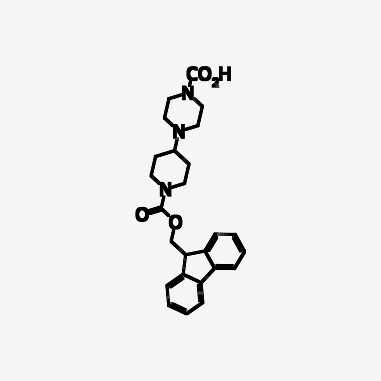 O=C(O)N1CCN(C2CCN(C(=O)OCC3c4ccccc4-c4ccccc43)CC2)CC1